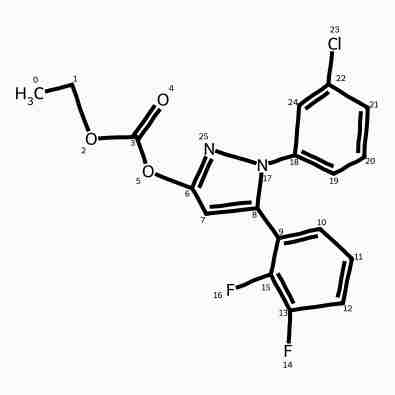 CCOC(=O)Oc1cc(-c2cccc(F)c2F)n(-c2cccc(Cl)c2)n1